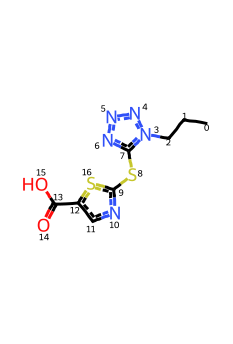 CCCn1nnnc1Sc1ncc(C(=O)O)s1